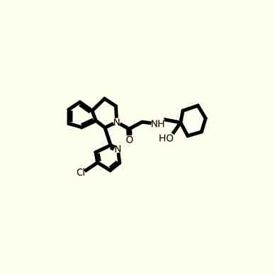 O=C(CNCC1(O)CCCCC1)N1CCc2ccccc2C1c1cc(Cl)ccn1